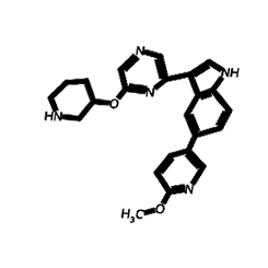 COc1ccc(-c2ccc3[nH]cc(-c4cncc(OC5CCCNC5)n4)c3c2)cn1